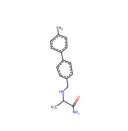 Cc1ccc(-c2ccc(CNC(C)C(N)=O)cc2)cc1